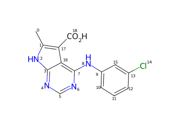 Cc1[nH]c2ncnc(Nc3cccc(Cl)c3)c2c1C(=O)O